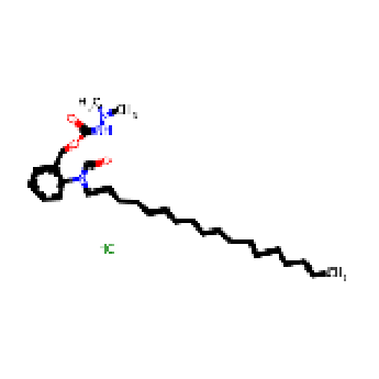 CCCCCCCCCCCCCCCCCCN(C=O)c1ccccc1COC(=O)NN(C)C.Cl